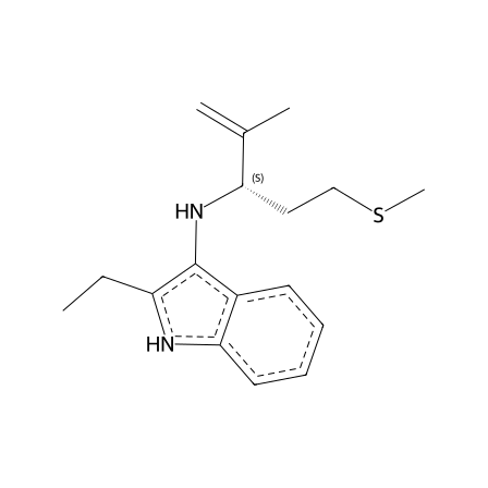 C=C(C)[C@H](CCSC)Nc1c(CC)[nH]c2ccccc12